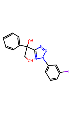 OCC(O)(c1ccccc1)c1nnn(-c2cccc(I)c2)n1